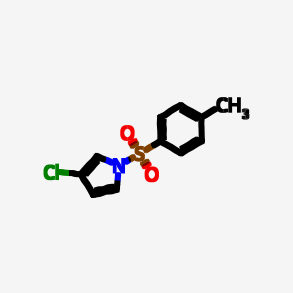 Cc1ccc(S(=O)(=O)n2ccc(Cl)c2)cc1